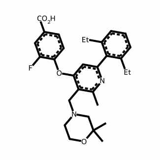 CCc1cccc(CC)c1-c1cc(Oc2ccc(C(=O)O)cc2F)c(CN2CCOC(C)(C)C2)c(C)n1